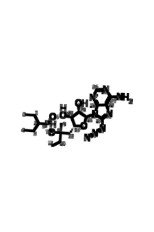 CCC(CC)[PH](=O)O[C@@](C)(CC)C[C@H]1OC(n2c(N=[N+]=[N-])nc3c(N)ncnc32)[C@H](O)[C@@H]1O